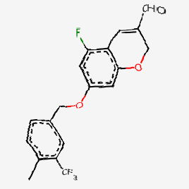 Cc1ccc(COc2cc(F)c3c(c2)OCC(C=O)=C3)cc1C(F)(F)F